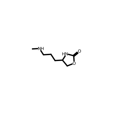 CNCCCC1COC(=O)N1